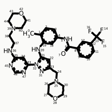 Cc1ccc(NC(=O)c2cccc(C(F)(F)F)c2)cc1Nc1cc(CN2CCOCC2)nn1-c1cc(NCCN2CCOCC2)ncn1